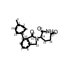 Cc1ccc(-c2cccc3c2C(=O)N(C2CCC(=O)NC2=O)C3)cc1